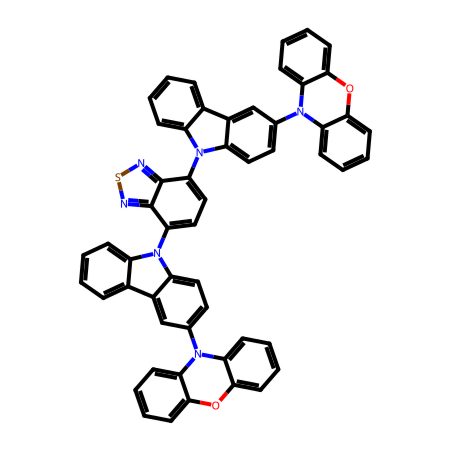 c1ccc2c(c1)Oc1ccccc1N2c1ccc2c(c1)c1ccccc1n2-c1ccc(-n2c3ccccc3c3cc(N4c5ccccc5Oc5ccccc54)ccc32)c2nsnc12